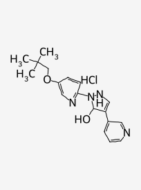 CC(C)(C)COc1ccc(N2NC=C(c3cccnc3)C2O)nc1.Cl